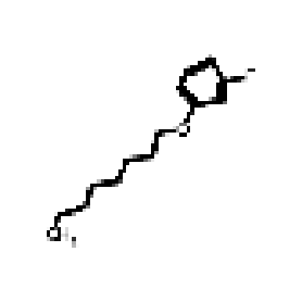 CCCCCCCCOc1cc[c]c(F)c1